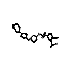 CC(=O)c1cc(S(=O)(=O)N[C@@H]2CCN(Cc3ccc(-c4ccccc4)cc3)C2)ccc1C